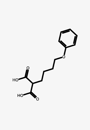 O=C(O)C(CCCCOc1ccccc1)C(=O)O